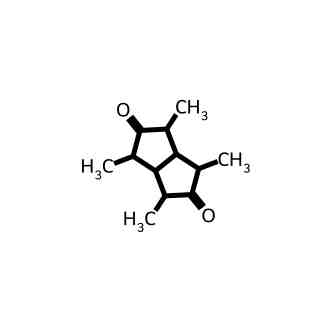 CC1C(=O)C(C)C2C(C)C(=O)C(C)C12